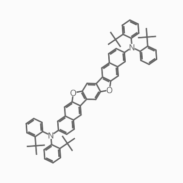 CC(C)(C)c1ccccc1N(c1ccc2cc3c(cc2c1)oc1cc2c(cc13)oc1cc3cc(N(c4ccccc4C(C)(C)C)c4ccccc4C(C)(C)C)ccc3cc12)c1ccccc1C(C)(C)C